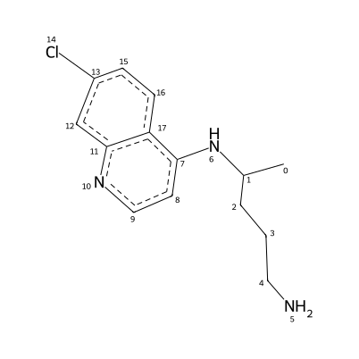 CC(CCCN)Nc1ccnc2cc(Cl)ccc12